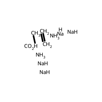 C=C.CC(=O)O.N.N.[NaH].[NaH].[NaH].[NaH]